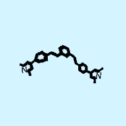 Cc1cc(-c2ccc(/C=C/c3cccc(/C=C/c4ccc(-c5cc(C)nc(C)c5)cc4)c3)cc2)cc(C)n1